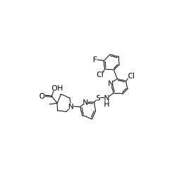 CC1(C(=O)O)CCN(c2cccc(SNc3ccc(Cl)c(-c4cccc(F)c4Cl)n3)n2)CC1